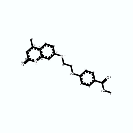 COC(=O)c1ccc(OCCOc2ccc3c(C)cc(=O)oc3c2)cc1